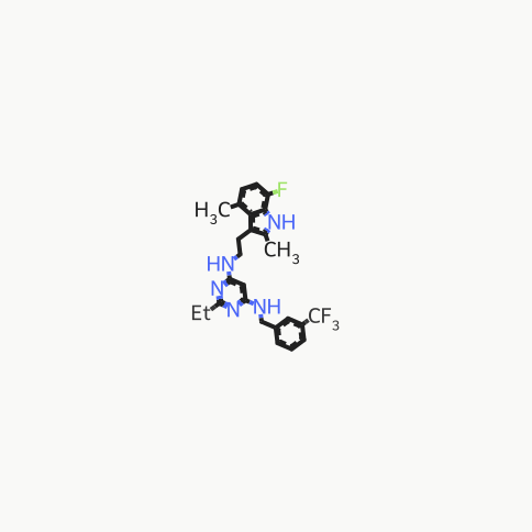 CCc1nc(NCCc2c(C)[nH]c3c(F)ccc(C)c23)cc(NCc2cccc(C(F)(F)F)c2)n1